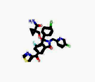 NC(=O)C1(CO[C@]2(c3ccc(Cl)cc3)c3c(F)cc(C(=O)c4cscn4)cc3C(=O)N2Cc2ccc(Cl)cn2)CC1